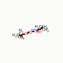 CC(C)(C)CCC(O)NCCOCCOCCC(=O)C(C)(C)C